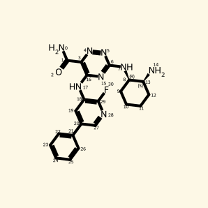 NC(=O)c1nnc(N[C@@H]2CCCC[C@@H]2N)nc1Nc1cc(-c2ccccc2)cnc1F